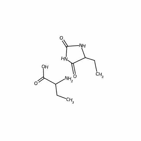 CCC(N)C(=O)O.CCC1NC(=O)NC1=O